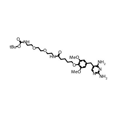 COc1cc(Cc2cnc(N)nc2N)cc(OC)c1OCCCCC(=O)NCCOCCOCCNC(=O)OC(C)(C)C